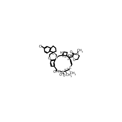 C[C@@H]1[C@@H](C)CC=C[C@@](O)([C@H]2OCCN(C)C2=O)[C@@H]2CC[C@H]2CN2C[C@@]3(CCCc4cc(Cl)ccc43)COc3ccc(cc32)C(=O)NS1(=O)=O